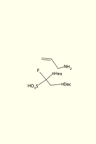 C=CCN.CCCCCCCCCCCC(F)(CCCCCC)S(=O)(=O)O